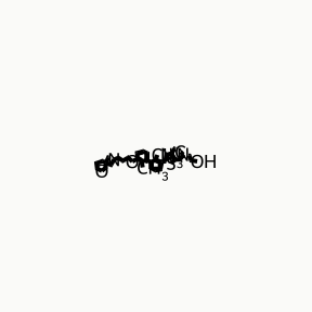 Cc1c(OCCCN2CC3(CCCOC3)C2)cccc1-c1cccc(-c2nc3c(s2)CN(CCO)CC3)c1C